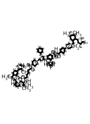 C=C(CCC1=C(CN2CCN(c3ccc(C(=O)NS(=O)(=O)c4ccc(N[C@H](CCN5CCC(N(C)C(=O)CCCCC(=O)NC(C(=O)N6CCC[C@H]6C(=O)N[C@@H](C)c6ccc(-c7scnc7C)cc6)C(C)(C)C)CC5)CSc5ccccc5)c(S(=O)(=O)C(F)(F)F)c4)cc3)CC2)CCC(C)(C)C1)C(F)F